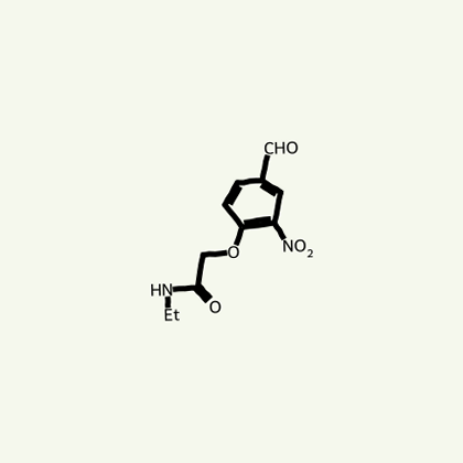 CCNC(=O)COc1ccc(C=O)cc1[N+](=O)[O-]